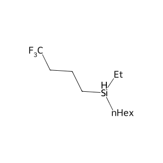 CCCCCC[SiH](CC)CCCC(F)(F)F